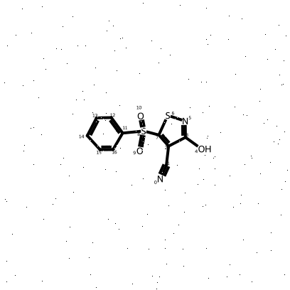 N#Cc1c(O)nsc1S(=O)(=O)c1ccccc1